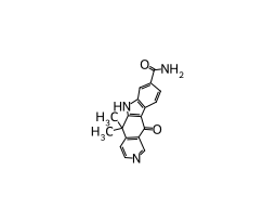 CC1(C)c2ccncc2C(=O)c2c1[nH]c1cc(C(N)=O)ccc21